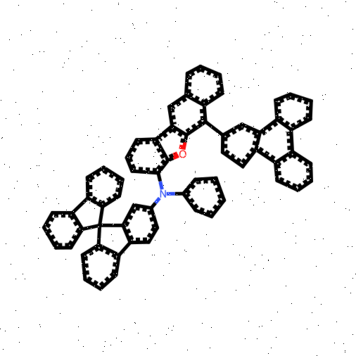 c1ccc(N(c2ccc3c(c2)C2(c4ccccc4-c4ccccc42)c2ccccc2-3)c2cccc3c2oc2c(-c4ccc5c6ccccc6c6ccccc6c5c4)c4ccccc4cc23)cc1